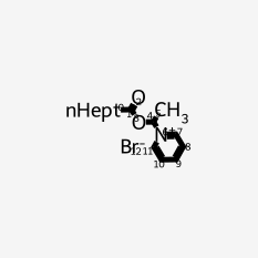 CCCCCCCC(=O)OC(C)[n+]1ccccc1.[Br-]